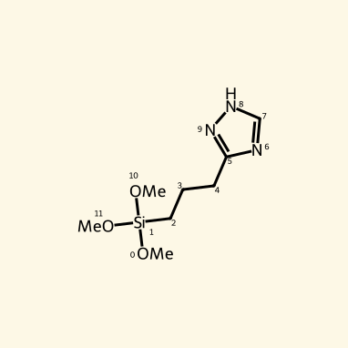 CO[Si](CCCc1nc[nH]n1)(OC)OC